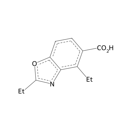 CCc1nc2c(CC)c(C(=O)O)ccc2o1